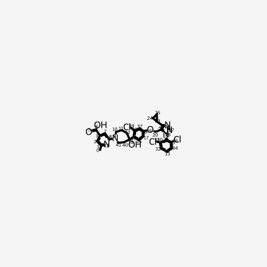 Cc1cc(C(=O)O)cc(N2CCCC(O)(c3ccc(OCc4c(C5CC5)nnn4-c4c(Cl)cccc4Cl)cc3Cl)CC2)n1